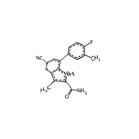 Cc1cc(-c2cc(C#N)cc3c(C)c(C(N)=O)[nH]c23)ccc1F